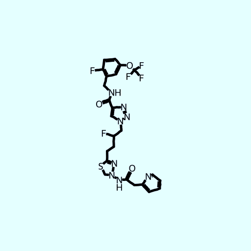 O=C(Cc1ccccn1)NN1CSC(CCC(F)Cn2cc(C(=O)NCc3cc(OC(F)(F)F)ccc3F)nn2)=N1